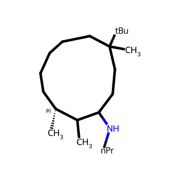 CCCNC1CCC(C)(C(C)(C)C)CCCCC[C@@H](C)C1C